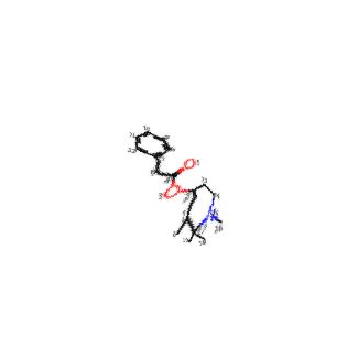 CC1C(OC(=O)Cc2ccccc2)CCN(C)C1(C)C